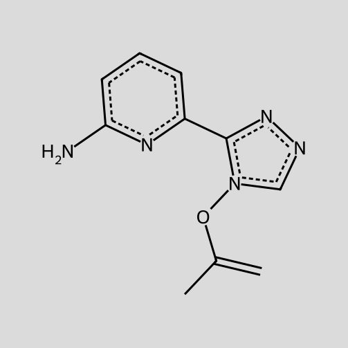 C=C(C)On1cnnc1-c1cccc(N)n1